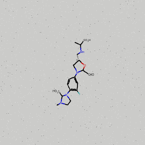 CC(NC[C@H]1CN(c2ccc(N3CCN(C)C3S(=O)(=O)O)c(F)c2)C(C=O)O1)S(=O)(=O)O